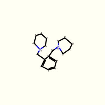 c1ccc(CN2CCCCC2)c(CN2CCCCC2)c1